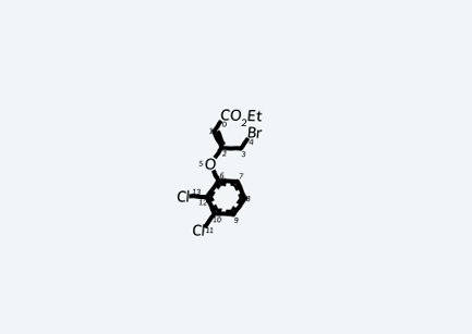 CCOC(=O)C=C(CBr)Oc1cccc(Cl)c1Cl